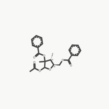 CC(=O)OC1O[C@H](COC(=O)c2ccccc2)[C@@H](F)C1(C)OC(=O)c1ccccc1